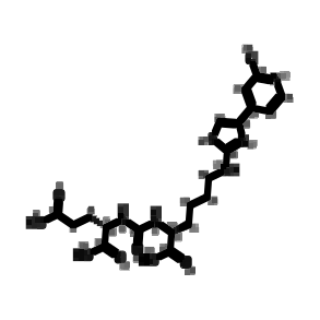 O=C(O)CC[C@H](NC(=O)N[C@@H](CCCCNc1nc(-c2ccnc(Cl)c2)cs1)C(=O)O)C(=O)O